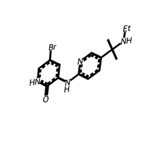 CCNC(C)(C)c1ccc(Nc2cc(Br)c[nH]c2=O)nc1